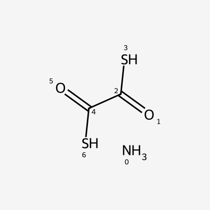 N.O=C(S)C(=O)S